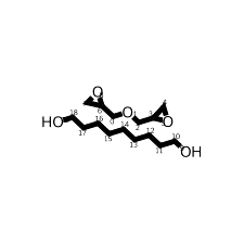 C(OCC1CO1)C1CO1.OCCCCCCCCCO